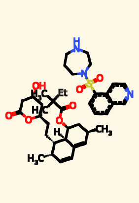 CCC(C)(C)C(=O)O[C@H]1C[C@@H](C)C=C2C=C[C@H](C)[C@H](CC[C@@H]3C[C@@H](O)CC(=O)O3)[C@H]21.O=S(=O)(c1cccc2cnccc12)N1CCCNCC1